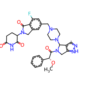 CO[C@@H](C(=O)N1Cc2[nH]n[c]c2C1N1CCN(Cc2cc(F)c3c(c2)CN(C2CCC(=O)NC2=O)C3=O)CC1)c1ccccc1